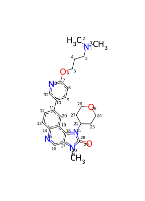 CN(C)CCCOc1ccc(-c2ccc3ncc4c(c3c2)n(C2CCOCC2)c(=O)n4C)cn1